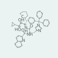 O=C(N[C@@H](Cc1cn(C(c2ccccc2)(c2ccccc2)c2ccccc2)cn1)C(=O)N[C@@H](CC1CCCCC1)[C@@H](O)[C@@H](O)C1CC1)c1ccc2ccccc2n1